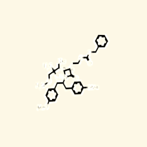 COc1ccc(CC(Cc2ccc(OC)cc2)N2C(=O)[C@@H](CCOC(=O)OCc3ccccc3)[C@H]2C(C(C)(C)C)C(C)(C)CO[SiH3])cc1